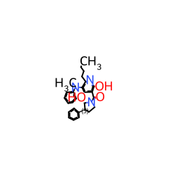 CCCCc1nc(O)c(C(=O)N2CC[C@@H](c3ccccc3)C2)c(O)c1N(C)c1ccccc1